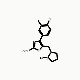 CC[C@@H]1CCCN1Cc1sc(NC(C)=O)nc1-c1ccc(Cl)c(C)c1